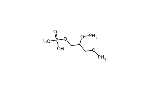 O=P(O)(O)OCC(COP)OP